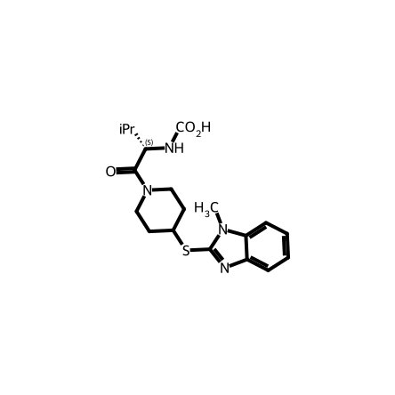 CC(C)[C@H](NC(=O)O)C(=O)N1CCC(Sc2nc3ccccc3n2C)CC1